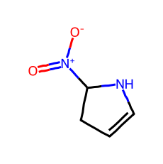 O=[N+]([O-])C1CC=CN1